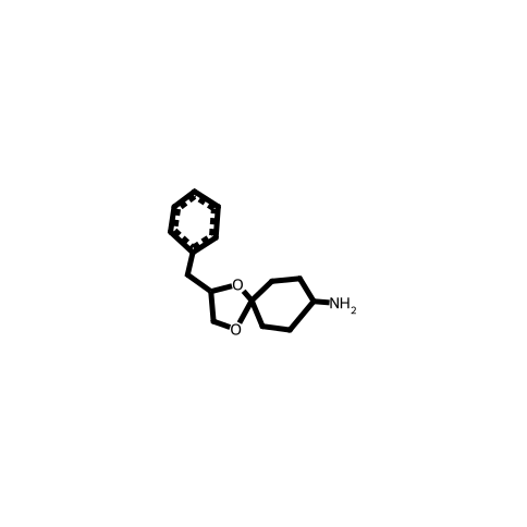 NC1CCC2(CC1)OCC(Cc1ccccc1)O2